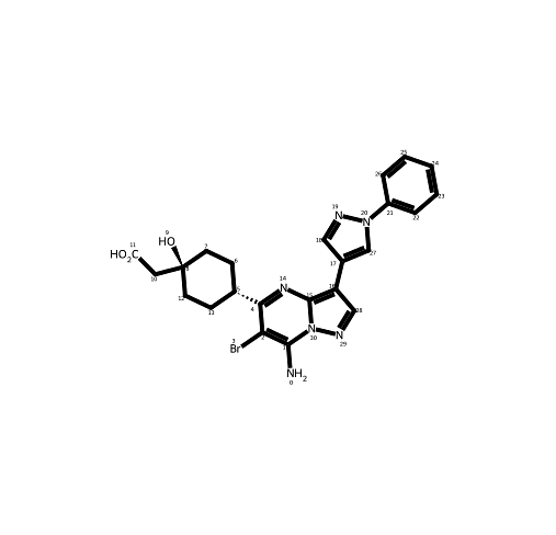 Nc1c(Br)c([C@H]2CC[C@@](O)(CC(=O)O)CC2)nc2c(-c3cnn(-c4ccccc4)c3)cnn12